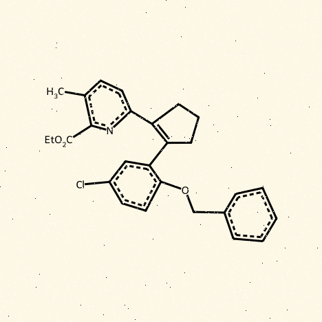 CCOC(=O)c1nc(C2=C(c3cc(Cl)ccc3OCc3ccccc3)CCC2)ccc1C